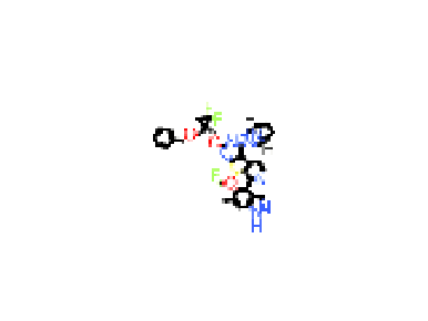 Cc1cc2[nH]ncc2c(-c2nccc3c2sc2nc(OC[C@]4(COCc5ccccc5)CC4(F)F)nc(N4C[C@H]5CC[C@@H](C4)N5)c23)c1OC(F)F